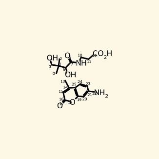 CC(C)(CO)C(O)C(=O)NCCC(=O)O.Cc1cc(=O)oc2cc(N)ccc12